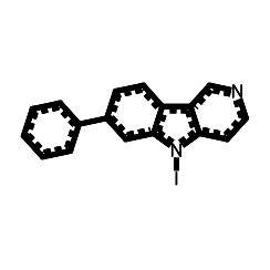 In1c2ccncc2c2ccc(-c3ccccc3)cc21